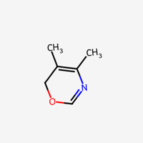 CC1=C(C)N=COC1